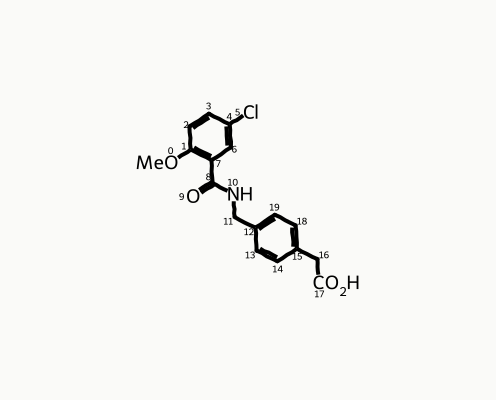 COc1ccc(Cl)cc1C(=O)NCc1ccc(CC(=O)O)cc1